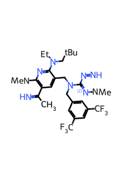 CCN(CC(C)(C)C)c1nc(NC)c(C(C)=N)cc1CN(Cc1cc(C(F)(F)F)cc(C(F)(F)F)c1)/C(N=N)=N/NC